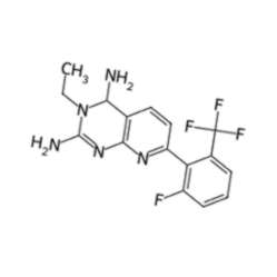 CCN1C(N)=Nc2nc(-c3c(F)cccc3C(F)(F)F)ccc2C1N